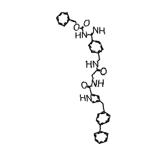 N=C(NC(=O)OCc1ccccc1)c1ccc(CNC(=O)CNC(=O)c2cc(Cc3ccc(-c4ccccc4)cc3)c[nH]2)cc1